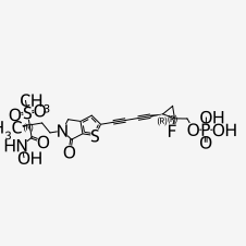 C[C@@](CCN1Cc2cc(C#CC#C[C@H]3C[C@]3(F)COP(=O)(O)O)sc2C1=O)(C(=O)NO)S(C)(=O)=O